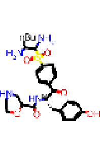 CCCCC(N)C(N)S(=O)(=O)c1ccc(C(=O)[C@H](Cc2ccc(O)cc2)NC(=O)C2CNCCO2)cc1